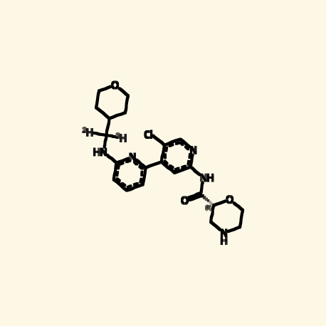 [2H]C([2H])(Nc1cccc(-c2cc(NC(=O)[C@H]3CNCCO3)ncc2Cl)n1)C1CCOCC1